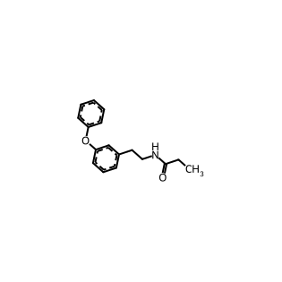 CCC(=O)NCCc1cccc(Oc2ccccc2)c1